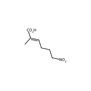 CC(=CCCC[N+](=O)[O-])C(=O)O